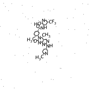 Cc1ccc(Nc2ncc3c(C)n(-c4cc(C(=O)Nc5cc(C(F)(F)F)cnc5O)ccc4C)c(=O)nc3n2)cn1